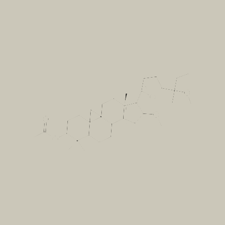 CCC(C)(OC)C1CC[C@](C)(C2C(OC)C[C@@]3(C)C4CCC5C(C)(C)C(OC(C)=O)CCC56CC46CC[C@]23C)O1